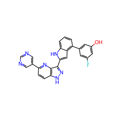 Oc1cc(F)cc(-c2cccc3[nH]c(-c4n[nH]c5ccc(-c6cncnc6)nc45)cc23)c1